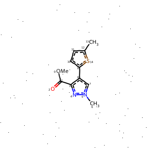 COC(=O)c1nn(C)cc1-c1ccc(C)s1